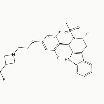 C[C@@H]1Cc2c([nH]c3ccccc23)[C@@H](c2c(F)cc(OCCN3CC(CF)C3)cc2F)N1S(C)(=O)=O